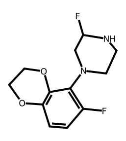 Fc1ccc2c(c1N1CCNC(F)C1)OCCO2